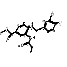 CCC(=O)Nc1cc(C(=O)OC)ccc1NCc1ccc(Cl)c(Cl)c1